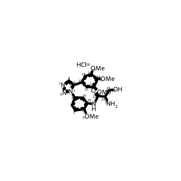 COc1ccc(-n2nncc2-c2cc(OC)c(OC)c(OC)c2)cc1NC(=O)C(N)CO.Cl